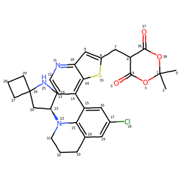 CC1(C)OC(=O)C(Cc2cc3nccc(-c4cc(Cl)cc5c4N([C@@H]4CNC6(CCC6)C4)CCC5)c3s2)C(=O)O1